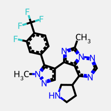 Cc1nc(-c2cnn(C)c2-c2ccc(C(F)(F)F)c(F)c2)c2c(C3CCNC3)ncnn12